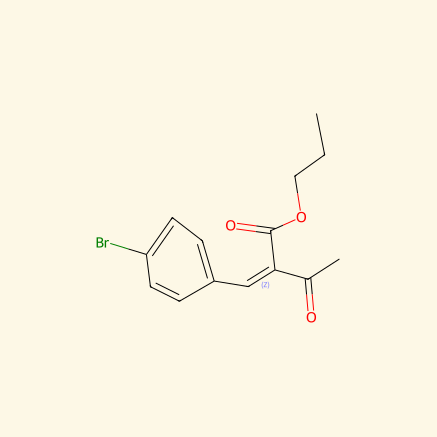 CCCOC(=O)/C(=C\c1ccc(Br)cc1)C(C)=O